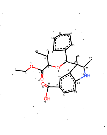 CCOC(=O)C(OC(c1ccccc1)C1(C)c2cc(C(=O)O)ccc2NC1C)C(C)C